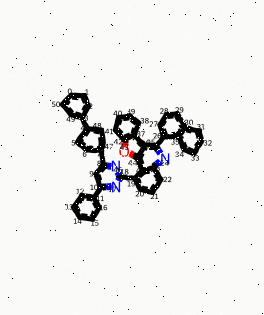 c1ccc(-c2ccc(-c3cc(-c4ccccc4)nc(-c4cccc5nc(-c6cccc7ccccc67)c6c7ccccc7oc6c45)n3)cc2)cc1